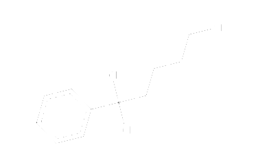 CCCCCC(Cl)(Cl)c1ccccc1